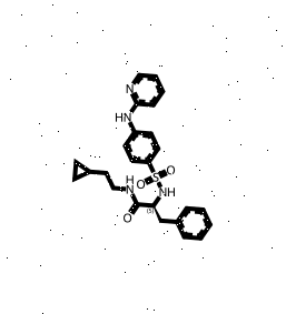 O=C(NCCC1CC1)[C@H](Cc1ccccc1)NS(=O)(=O)c1ccc(Nc2ccccn2)cc1